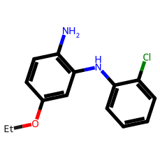 CCOc1ccc(N)c(Nc2ccccc2Cl)c1